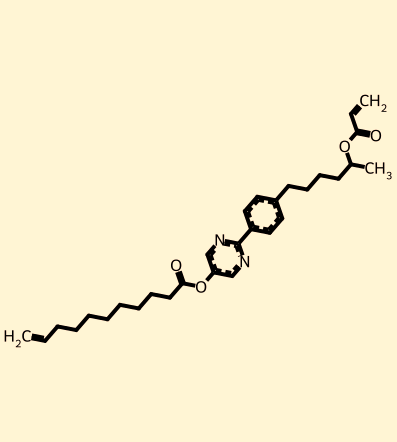 C=CCCCCCCCCC(=O)Oc1cnc(-c2ccc(CCCCC(C)OC(=O)C=C)cc2)nc1